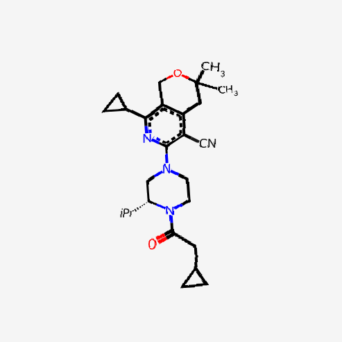 CC(C)[C@@H]1CN(c2nc(C3CC3)c3c(c2C#N)CC(C)(C)OC3)CCN1C(=O)CC1CC1